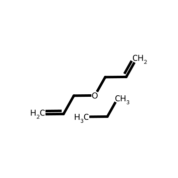 C=CCOCC=C.CCC